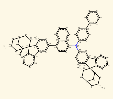 C[C@@H]1CC2CC(C1)[C@@]1(c3ccccc3-c3cc(N(c4ccc(-c5ccccc5)cc4)c4ccc(-c5ccc6c(c5)-c5ccccc5[C@]65[C@H]6CC(C[C@@H](C)C6)C[C@@H]5C)c5ccccc45)ccc31)[C@@H](C)C2